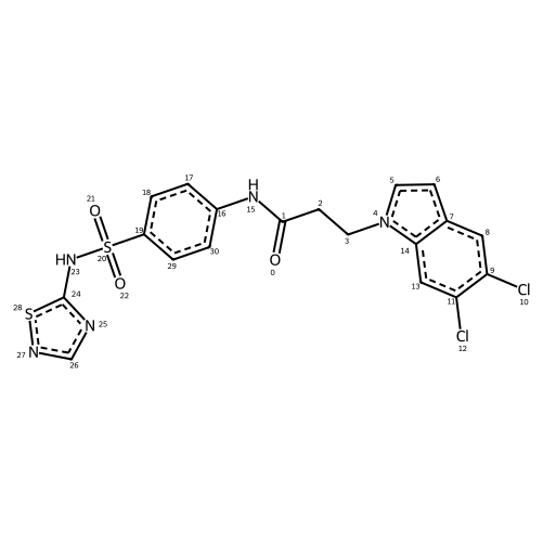 O=C(CCn1ccc2cc(Cl)c(Cl)cc21)Nc1ccc(S(=O)(=O)Nc2ncns2)cc1